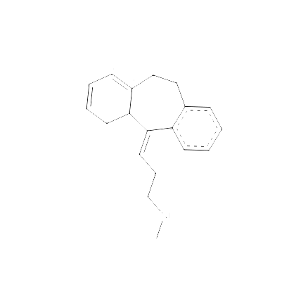 CNCC/C=C1\c2ccccc2CCC2=CC=CCC21